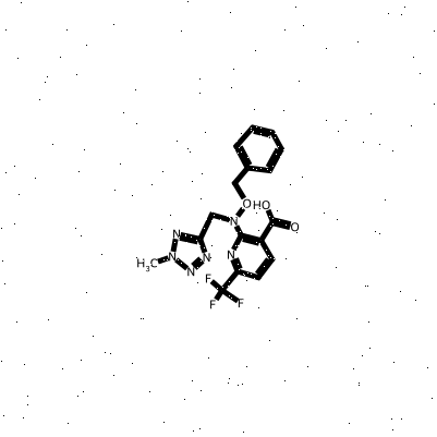 Cn1nnc(CN(OCc2ccccc2)c2nc(C(F)(F)F)ccc2C(=O)O)n1